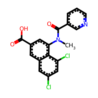 CN(C(=O)c1cccnc1)c1cc(C(=O)O)cc2cc(Cl)cc(Cl)c12